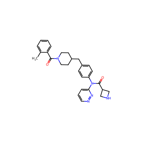 Cc1ccccc1C(=O)N1CCC(Cc2ccc(N(C(=O)C3CNC3)c3cccnn3)cc2)CC1